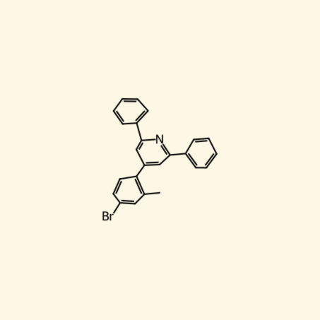 Cc1cc(Br)ccc1-c1cc(-c2ccccc2)nc(-c2ccccc2)c1